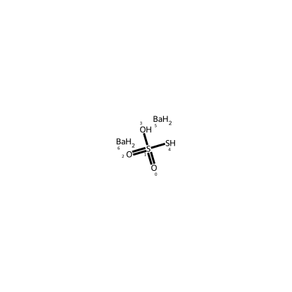 O=S(=O)(O)S.[BaH2].[BaH2]